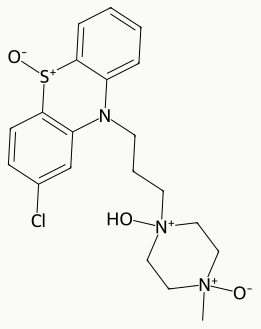 C[N+]1([O-])CC[N+](O)(CCCN2c3ccccc3[S+]([O-])c3ccc(Cl)cc32)CC1